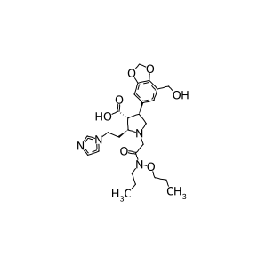 CCCON(CCC)C(=O)CN1C[C@H](c2cc(CO)c3c(c2)OCO3)[C@@H](C(=O)O)[C@@H]1CCn1ccnc1